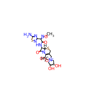 CO/N=C(\C(=O)NC1C(=O)N2C(C(=O)[O-])=C(C[N+]3(C)C[C@H](O)[C@@H](O)C3)CS[C@@H]12)c1nsc(N)n1